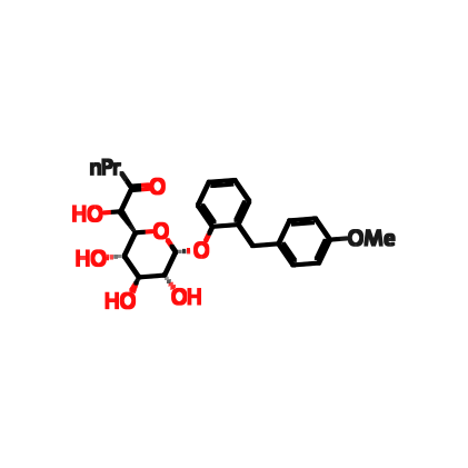 CCCC(=O)C(O)[C@H]1O[C@H](Oc2ccccc2Cc2ccc(OC)cc2)[C@H](O)[C@@H](O)[C@@H]1O